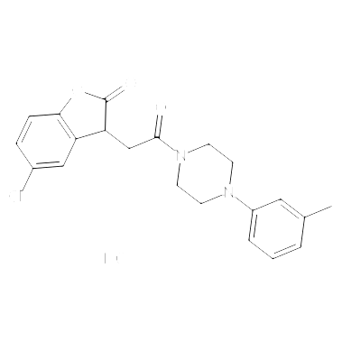 Cc1cccc(N2CCN(C(=O)CC3C(=O)Oc4ccc(Cl)cc43)CC2)c1.Cl